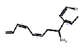 C=C/C=C\C=C/CC(N)C(/C=C\CC)=C/C